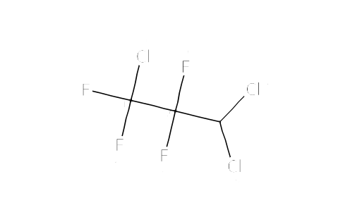 FC(F)(Cl)C(F)(F)C(Cl)Cl